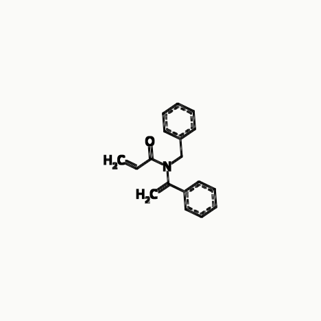 C=CC(=O)N(Cc1ccccc1)C(=C)c1ccccc1